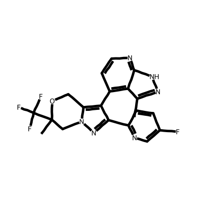 Cc1n[nH]c2nccc(-c3c(-c4ccc(F)cn4)nn4c3COC(C)(C(F)(F)F)C4)c12